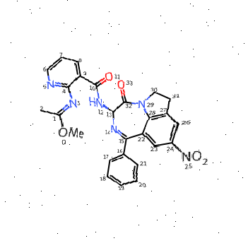 COC(C)=Nc1ncccc1C(=O)N[C@@H]1N=C(c2ccccc2)c2cc([N+](=O)[O-])cc3c2N(CC3)C1=O